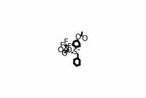 CC(=O)Oc1ccc([S+](C)Cc2ccccc2)cc1.O=S(=O)([O-])C(F)(F)F